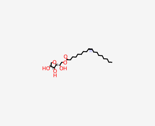 CCCCCCCC/C=C\CCCCCCCC(=O)OCC(O)[C@H]1OC[C@@H](O)[C@@H]1O